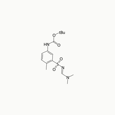 Cc1ccc(NC(=O)OC(C)(C)C)cc1S(=O)(=O)/N=C/N(C)C